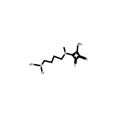 CCCN(CC)CCCCN(C)c1c(C(C)(C)C)c(=S)c1=S